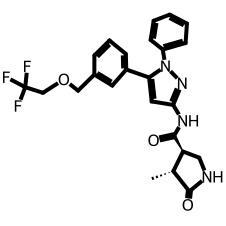 C[C@H]1C(=O)NC[C@@H]1C(=O)Nc1cc(-c2cccc(COCC(F)(F)F)c2)n(-c2ccccc2)n1